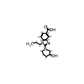 CCCn1c(N2CCCC(O)C2)nc2cc(C(=O)O)ccc21